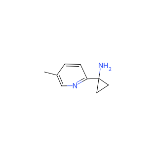 Cc1ccc(C2(N)CC2)nc1